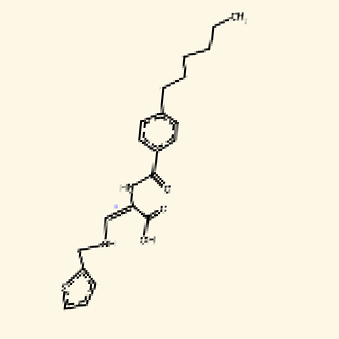 CCCCCCc1ccc(C(=O)N/C(=C/NCc2cccs2)C(=O)O)cc1